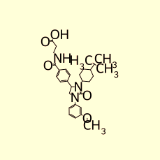 COc1cccc(N2CC(c3ccc(C(=O)NCCC(=O)O)cc3)N(C3CCC(C(C)(C)C)CC3)C2=O)c1